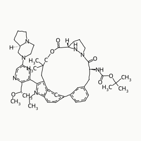 CCn1c(-c2cc(N3CCN4CCC[C@@H]4C3)cnc2[C@H](C)OC)c2c3cc(ccc31)-c1cccc(c1)C[C@H](NC(=O)OC(C)(C)C)C(=O)N1CCC[C@H](N1)C(=O)OCC(C)(C)C2